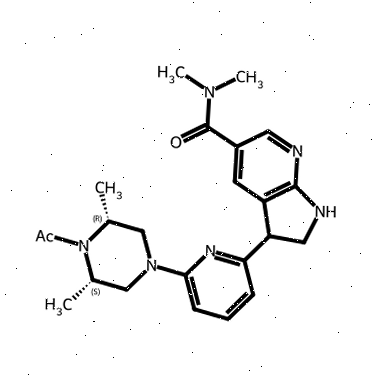 CC(=O)N1[C@H](C)CN(c2cccc(C3CNc4ncc(C(=O)N(C)C)cc43)n2)C[C@@H]1C